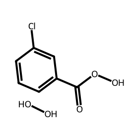 O=C(OO)c1cccc(Cl)c1.OO